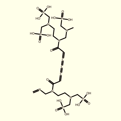 C=NCN(CCN(CP(=O)(O)O)CP(=O)(O)O)C(=O)C=C=C=C=CC(=O)N(CCN(CP(=O)(O)O)CP(=O)(O)O)CN(C)CP(=O)(O)O